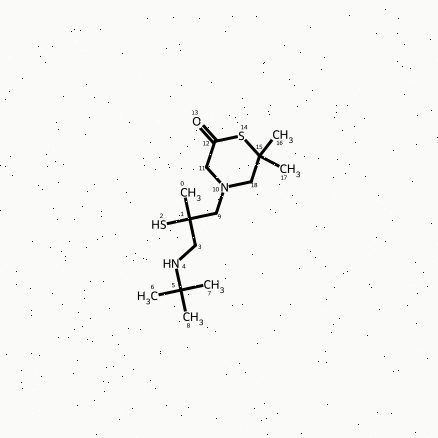 CC(S)(CNC(C)(C)C)CN1CC(=O)SC(C)(C)C1